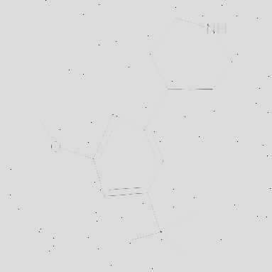 COc1cc(C2CCNCC2)cc(C(C)(C)C)c1